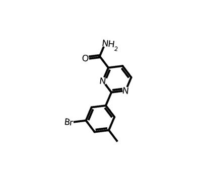 Cc1cc(Br)cc(-c2nccc(C(N)=O)n2)c1